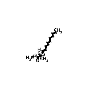 CCCCCCCCCC=COC(C)(C)C(=O)OC